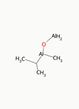 C[CH](C)[Al]([CH3])[O][AlH2]